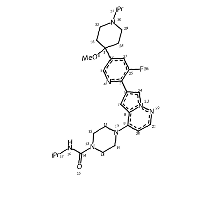 COC1(c2cnc(-c3cc4c(N5CCN(C(=O)NC(C)C)CC5)ccnn4c3)c(F)c2)CCN(C(C)C)CC1